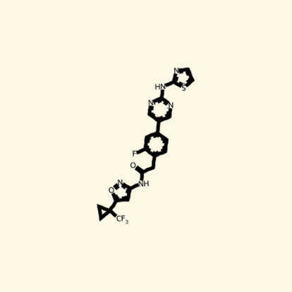 O=C(Cc1ccc(-c2cnc(Nc3nccs3)nc2)cc1F)Nc1cc(C2(C(F)(F)F)CC2)on1